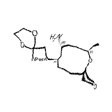 CCCCCC1(CC[C@@H]2CCC(=O)O[C@H](C)C[C@H]2N)OCCO1